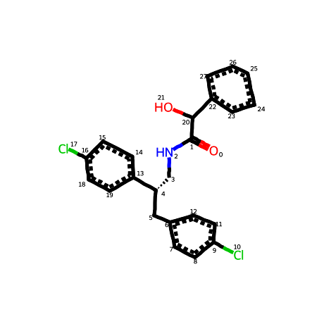 O=C(NC[C@H](Cc1ccc(Cl)cc1)c1ccc(Cl)cc1)C(O)c1ccccc1